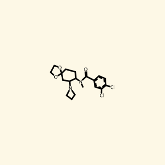 CN(C(=O)c1ccc(Cl)c(Cl)c1)C1CCC2(CC1N1CCC1)OCCO2